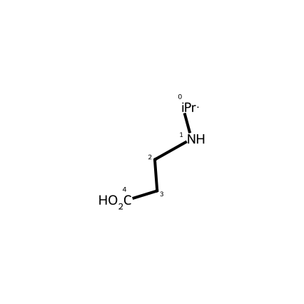 C[C](C)NCCC(=O)O